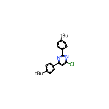 CC(C)(C)c1ccc(-c2cc(Cl)nc(-c3ccc(C(C)(C)C)cc3)n2)cc1